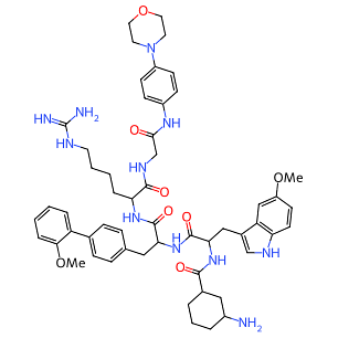 COc1ccc2[nH]cc(CC(NC(=O)C3CCCC(N)C3)C(=O)NC(Cc3ccc(-c4ccccc4OC)cc3)C(=O)NC(CCCCNC(=N)N)C(=O)NCC(=O)Nc3ccc(N4CCOCC4)cc3)c2c1